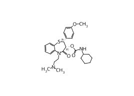 COc1ccc([C@H]2Sc3ccccc3N(CCN(C)C)C(=O)[C@H]2OC(=O)NC2CCCCC2)cc1